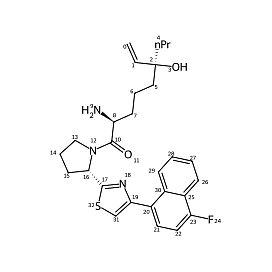 C=C[C@](O)(CCC)CCC[C@H](N)C(=O)N1CCC[C@H]1c1nc(-c2ccc(F)c3ccccc23)cs1